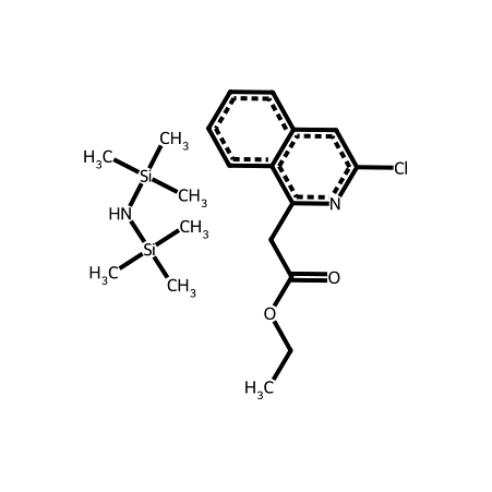 CCOC(=O)Cc1nc(Cl)cc2ccccc12.C[Si](C)(C)N[Si](C)(C)C